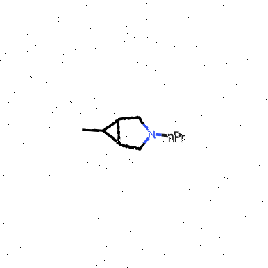 CCCN1CC2C(C)C2C1